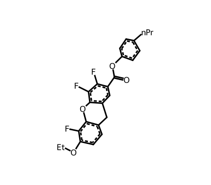 CCCc1ccc(OC(=O)c2cc3c(c(F)c2F)Oc2c(ccc(OCC)c2F)C3)cc1